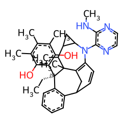 CC[C@@]1(c2c(O)c(C)c(C)c(C)c2O)c2ccccc2C2C=CC3=C(C2)C1(C)C(C)C1CC1N3c1nccnc1NC